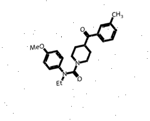 CCN(C(=O)N1CCC(C(=O)c2cccc(C)c2)CC1)c1ccc(OC)cc1